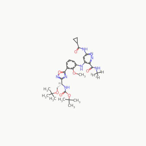 [2H]C([2H])([2H])NC(=O)c1nnc(NC(=O)C2CC2)cc1Nc1cccc(-c2nc([C@@H](COC(C)(C)C)NC(=O)OC(C)(C)C)no2)c1OC